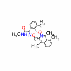 CCc1cccc(C)c1/C(C)=N/OCc1c(C)cccc1/C(=N\OC)C(=O)NC